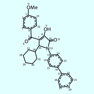 COc1ccc(C(=O)C2=C(O)C(=O)N(c3ccc(-c4ccncc4)cc3)C2C2CCCCC2)cc1